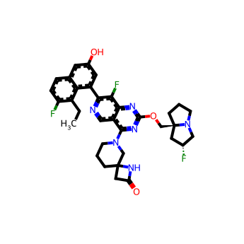 CCc1c(F)ccc2cc(O)cc(-c3ncc4c(N5CCCC6(CC(=O)N6)C5)nc(OC[C@@]56CCCN5C[C@H](F)C6)nc4c3F)c12